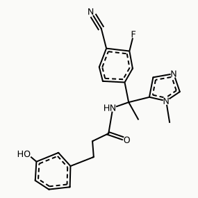 Cn1cncc1C(C)(NC(=O)CCc1cccc(O)c1)c1ccc(C#N)c(F)c1